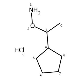 CC(ON)C1CCCC1.Cl